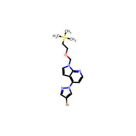 CS(C)(C)CCOCn1ccc2c(-n3cc(Br)cn3)ccnc21